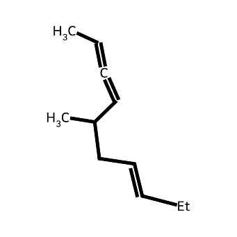 CC=C=CC(C)CC=CCC